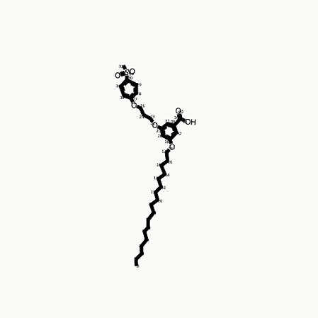 CCCCCCCCCCCCCCCCCCOc1cc(OCCCOc2ccc(S(C)(=O)=O)cc2)cc(C(=O)O)c1